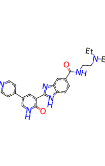 CCN(CC)CCNC(=O)c1ccc2[nH]c(-c3cc(-c4ccncc4)c[nH]c3=O)nc2c1